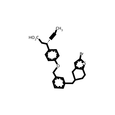 CC#C[C@@H](CC(=O)O)c1ccc(OCc2cccc(CC3CCc4sc(Br)cc4C3)c2)cc1